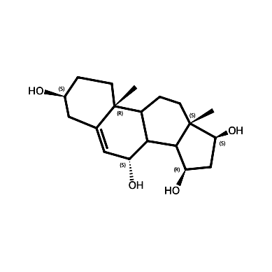 C[C@]12CC[C@H](O)CC1=C[C@@H](O)C1C2CC[C@@]2(C)C1[C@H](O)C[C@@H]2O